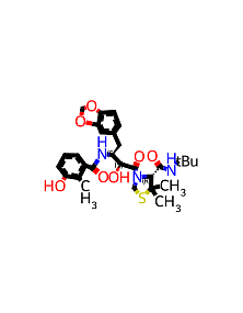 Cc1c(O)cccc1C(=O)N[C@@H](Cc1ccc2c(c1)OCO2)[C@H](O)C(=O)N1CSC(C)(C)[C@H]1C(=O)NC(C)(C)C